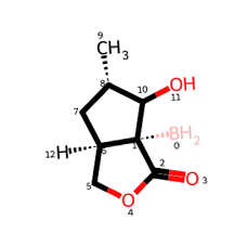 B[C@]12C(=O)OC[C@H]1C[C@H](C)C2O